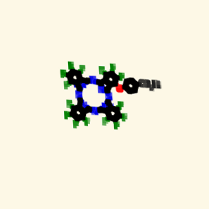 CCOC(=O)c1ccc(Oc2c(F)c(F)c(F)c3c2-c2nc-3nc3[nH]c(nc4nc(nc5[nH]c(n2)c2c(F)c(F)c(F)c(F)c52)-c2c(F)c(F)c(F)c(F)c2-4)c2c(F)c(F)c(F)c(F)c32)cc1